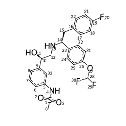 CS(=O)(=O)Nc1cccc([C@@H](O)CN[C@@H](Cc2ccc(F)cc2)c2ccc(OC(F)F)cc2)c1